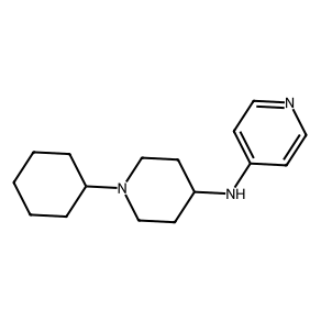 c1cc(NC2CCN(C3CCCCC3)CC2)ccn1